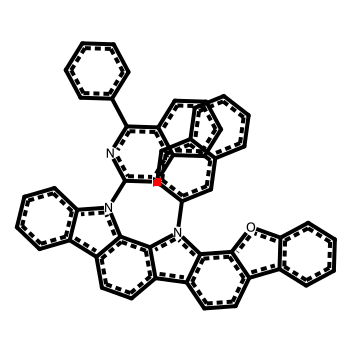 c1ccc(-c2nc(-n3c4ccccc4c4ccc5c6ccc7c8ccccc8oc7c6n(-c6ccc7ccccc7c6)c5c43)nc3ccccc23)cc1